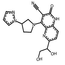 N#Cc1c(N2CCC(n3cccn3)C2)c2nc(C(O)CO)ccc2[nH]c1=O